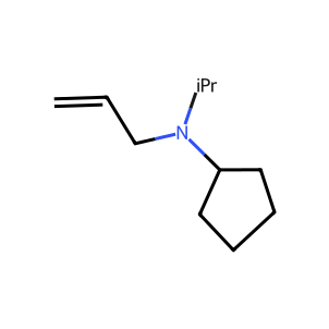 C=CCN(C(C)C)C1CCCC1